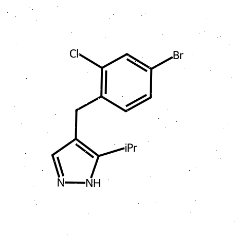 CC(C)c1[nH]ncc1Cc1ccc(Br)cc1Cl